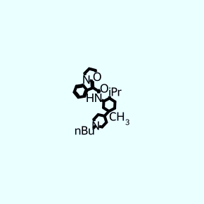 CCCCN1CCC(C2(C)CCC(C(C)C)C(NC(=O)c3c4n(c5ccccc35)CCCO4)C2)CC1